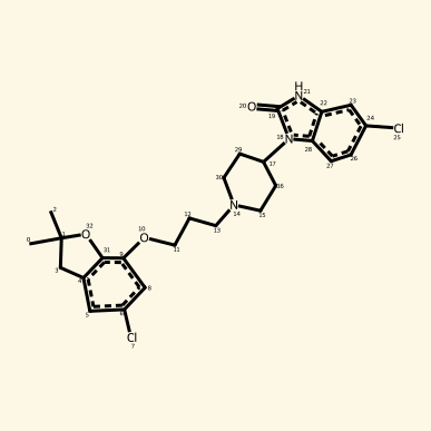 CC1(C)Cc2cc(Cl)cc(OCCCN3CCC(n4c(=O)[nH]c5cc(Cl)ccc54)CC3)c2O1